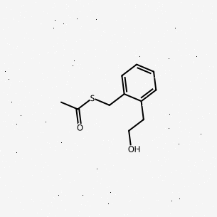 CC(=O)SCc1ccccc1CCO